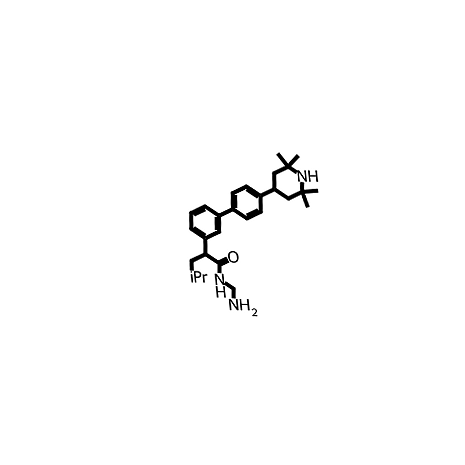 CC(C)CC(C(=O)NCN)c1cccc(-c2ccc(C3CC(C)(C)NC(C)(C)C3)cc2)c1